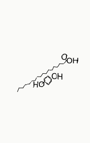 CCCCCCCCCCCCCCCCCC(=O)O.Oc1ccc(O)cc1